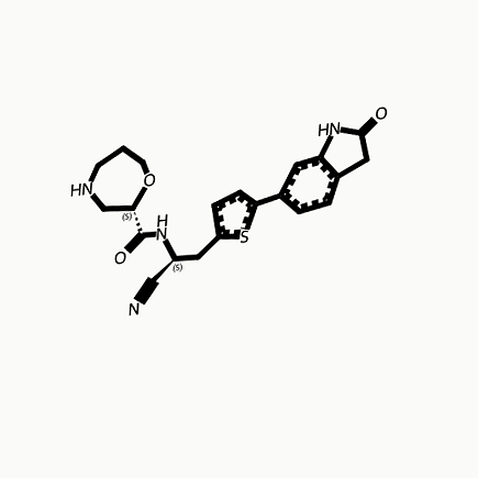 N#C[C@H](Cc1ccc(-c2ccc3c(c2)NC(=O)C3)s1)NC(=O)[C@@H]1CNCCCO1